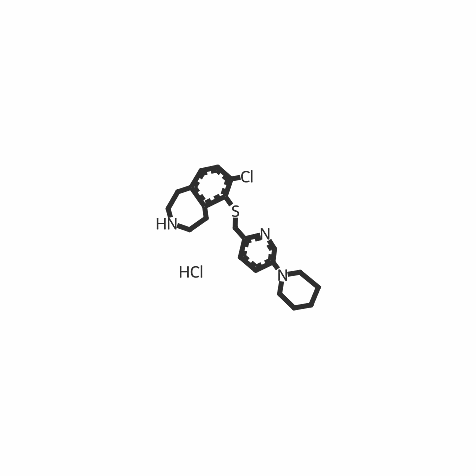 Cl.Clc1ccc2c(c1SCc1ccc(N3CCCCC3)cn1)CCNCC2